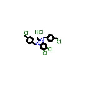 CC1N(Cc2ccc(CCl)cc2)c2cc(Cl)c(Cl)cc2N1Cc1ccc(CCl)cc1.Cl